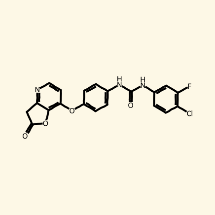 O=C(Nc1ccc(Oc2ccnc3c2OC(=O)C3)cc1)Nc1ccc(Cl)c(F)c1